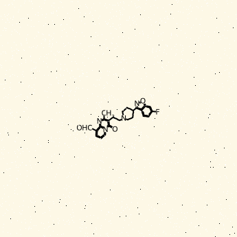 Cc1nc2c(C=O)cccn2c(=O)c1CCN1CCC(c2noc3cc(F)ccc23)CC1